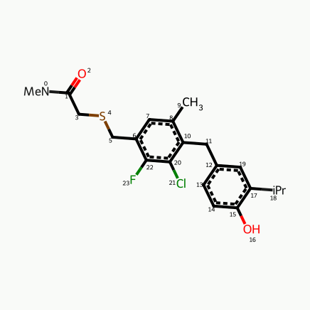 CNC(=O)CSCc1cc(C)c(Cc2ccc(O)c(C(C)C)c2)c(Cl)c1F